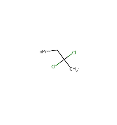 [CH2]C(Cl)(Cl)CCCC